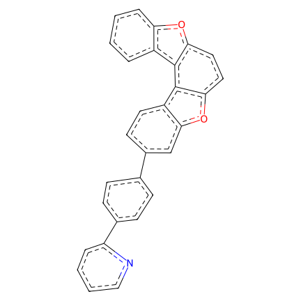 c1ccc(-c2ccc(-c3ccc4c(c3)oc3ccc5oc6ccccc6c5c34)cc2)nc1